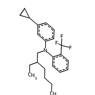 CCCCC(CC)CN(c1cccc(C2CC2)c1)c1ccccc1C(F)(F)F